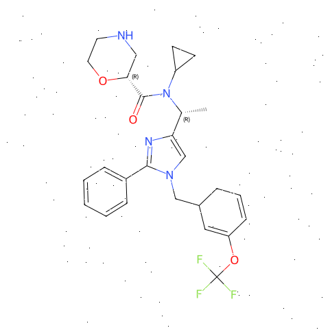 C[C@H](c1cn(CC2C=C(OC(F)(F)F)C=CC2)c(-c2ccccc2)n1)N(C(=O)[C@H]1CNCCO1)C1CC1